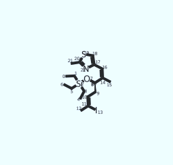 CC[Si](CC)(CC)O[C@H](CC=C(C)I)C(C)=Cc1csc(C)n1